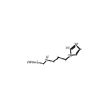 [CH2]CCCCCCNCCCn1ccnc1